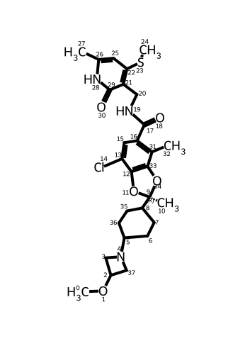 COC1CN(C2CCC([C@@]3(C)Oc4c(Cl)cc(C(=O)NCc5c(SC)cc(C)[nH]c5=O)c(C)c4O3)CC2)C1